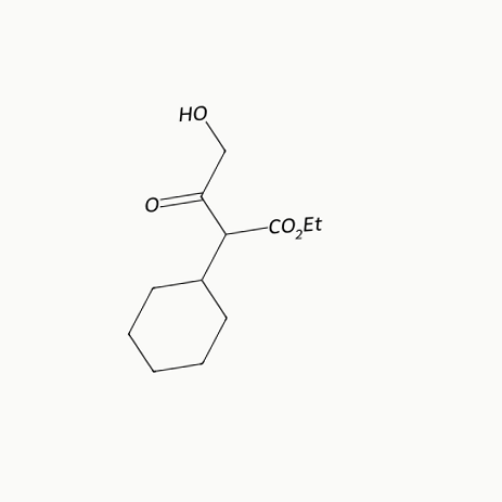 CCOC(=O)C(C(=O)CO)C1CCCCC1